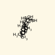 C=C1C[C@@]23CC[C@H]4[C@@](C)(CCC[C@@]4(C)C(=O)OC4OC(CO)C(O)C(O)C4O)[C@@H]2CCC1(OC)C3